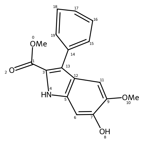 COC(=O)c1[nH]c2cc(O)c(OC)cc2c1-c1ccccc1